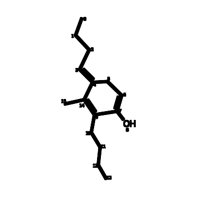 CCCC=C1CC=C(O)C(CCCC)=C1C